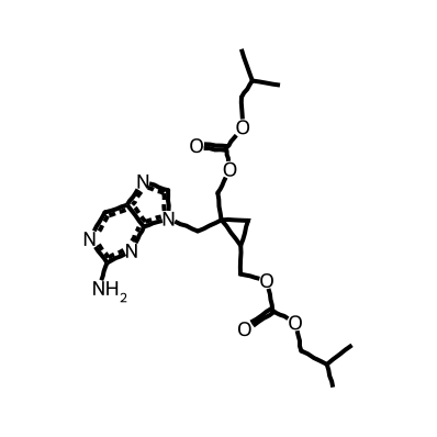 CC(C)COC(=O)OCC1CC1(COC(=O)OCC(C)C)Cn1cnc2cnc(N)nc21